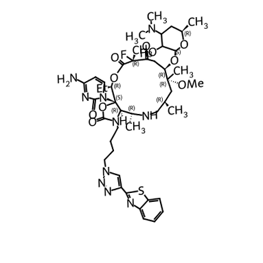 CC[C@H]1OC(=O)[C@](C)(F)C(=O)C[C@@H](O[C@@H]2O[C@H](C)CC(N(C)C)C2O)[C@](C)(OC)C[C@@H](C)CN[C@H](C)[C@H]2N(CCCCn3cc(-c4nc5ccccc5s4)nn3)C(=O)O[C@]12n1ccc(N)nc1=O